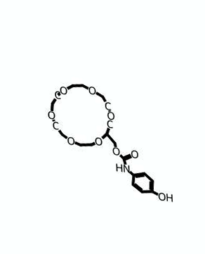 O=C(Nc1ccc(O)cc1)OCC1COCCOCCOCCOCCOCCO1